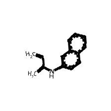 C=CC(=C)Nc1ccc2ccccc2c1